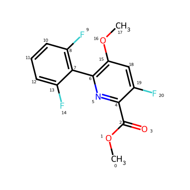 COC(=O)c1nc(-c2c(F)cccc2F)c(OC)cc1F